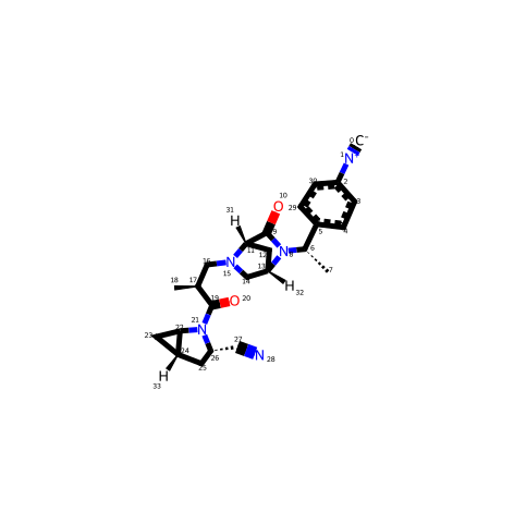 [C-]#[N+]c1ccc([C@H](C)N2C(=O)[C@@H]3C[C@H]2CN3C[C@H](C)C(=O)N2C3C[C@H]3C[C@H]2C#N)cc1